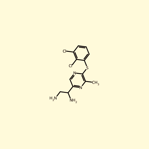 Cc1nc(C(N)CN)cnc1Sc1cccc(Cl)c1Cl